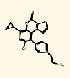 NCCc1ccc(-c2c(O)cc(C3CC3)c3[nH]c(=O)c4sccc4c23)cc1